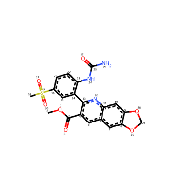 COC(=O)c1cc2cc3c(cc2nc1-c1cc(S(C)(=O)=O)ccc1NC(N)=O)OCO3